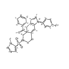 Cn1nncc1S(=O)(=O)N1CCC2=Cc3c(cnn3-c3ccc(F)cc3)CC2(C(=O)c2ccccn2)C1